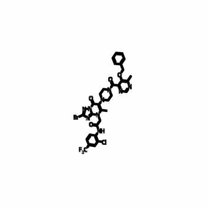 Cc1ncnc(C(=O)N2CCN(c3c(C)n(CC(=O)Nc4ccc(C(F)(F)F)cc4Cl)c4nc(Br)nn4c3=O)CC2)c1OCc1ccccc1